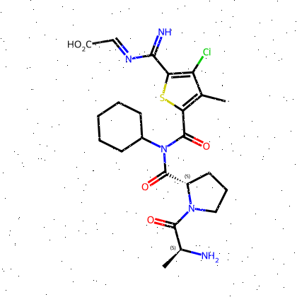 [CH2]c1c(C(=O)N(C(=O)[C@@H]2CCCN2C(=O)[C@H](C)N)C2CCCCC2)sc(C(=N)N=CC(=O)O)c1Cl